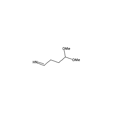 COC(CCC=N)OC